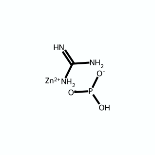 N=C(N)N.[O-]P([O-])O.[Zn+2]